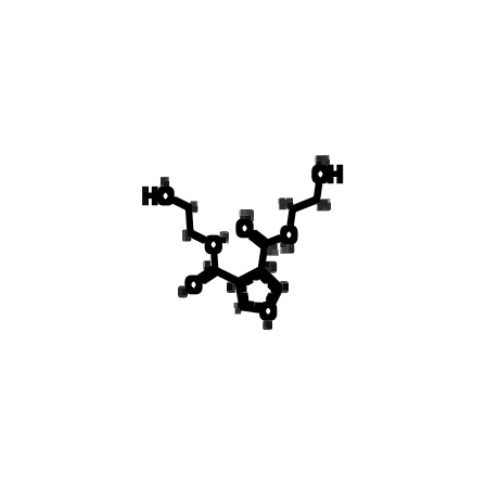 O=C(OCCO)c1cocc1C(=O)OCCO